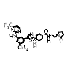 Cc1cc(Nc2nccc(C(F)(F)F)n2)cc(-c2cnc([C@]3(O)CC[C@H](C(=O)NCCN4CCCC4=O)CC3)s2)c1